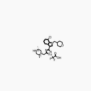 C[C@@H]1CN(Cc2nc(-c3cn(CC4CCOCC4)c4c(Cl)cccc34)no2)[C@@H](C)CN1.O=C(O)C(F)(F)F